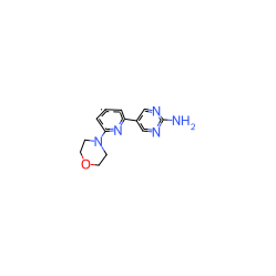 Nc1ncc(-c2c[c]cc(N3CCOCC3)n2)cn1